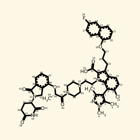 Cc1nn(C)c(C)c1-c1c(Cl)ccc2c(CCCOc3cccc4cc(F)ccc34)c(C(=O)O)n(CCN3CCN(C(=O)[C@H](C)Oc4cccc5c4CN([C@@H]4CCC(=O)NC4=O)C5=O)CC3)c12